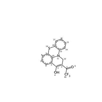 O=C(C1=C(O)c2cccc3c2N(C1)c1ccccc1S3)C(F)(F)F